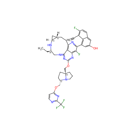 C#Cc1c(F)ccc2cc(O)cc(-c3nc4c5c(nc(OC[C@@]67CCCN6[C@H](COc6ccnc(C(F)(F)F)n6)CC7)nc5c3F)NC[C@@H](CC)N[C@H]3C[C@@H]3CC4)c12